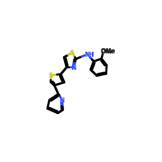 COc1ccccc1Nc1nc(-c2cc(-c3ccccn3)cs2)cs1